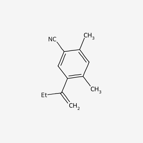 C=C(CC)c1cc(C#N)c(C)cc1C